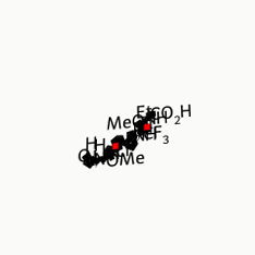 CC[C@H](NCc1nc(C(F)(F)F)c(N[C@H]2CCc3c(-c4cccc(-c5ccc(CNC[C@@H]6CCC(=O)N6)c(OC)n5)c4Cl)cccc32)nc1OC)C(=O)O